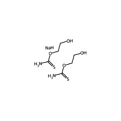 NC(=S)OCCO.NC(=S)OCCO.[NaH]